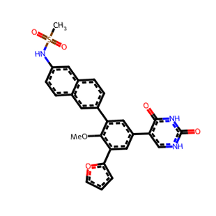 COc1c(-c2ccc3cc(NS(C)(=O)=O)ccc3c2)cc(-c2c[nH]c(=O)[nH]c2=O)cc1-c1ccco1